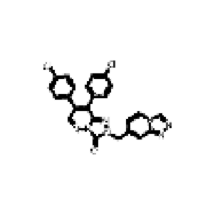 O=c1n(Cc2ccn3cnnc3c2)nc2c(-c3ccc(Cl)cc3)c(-c3ccc(Cl)cc3)cnn12